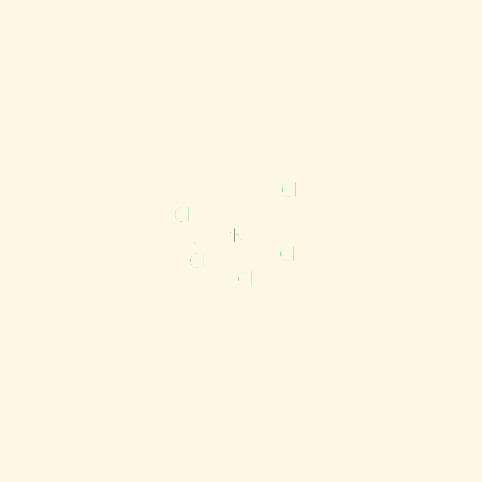 [Cl][K]([Cl])([Cl])([Cl])[Cl]